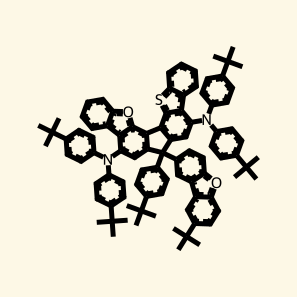 CC(C)(C)c1ccc(N(c2ccc(C(C)(C)C)cc2)c2cc3c(c4oc5ccccc5c24)-c2c(cc(N(c4ccc(C(C)(C)C)cc4)c4ccc(C(C)(C)C)cc4)c4c2sc2ccccc24)C3(c2ccc(C(C)(C)C)cc2)c2ccc3oc4ccc(C(C)(C)C)cc4c3c2)cc1